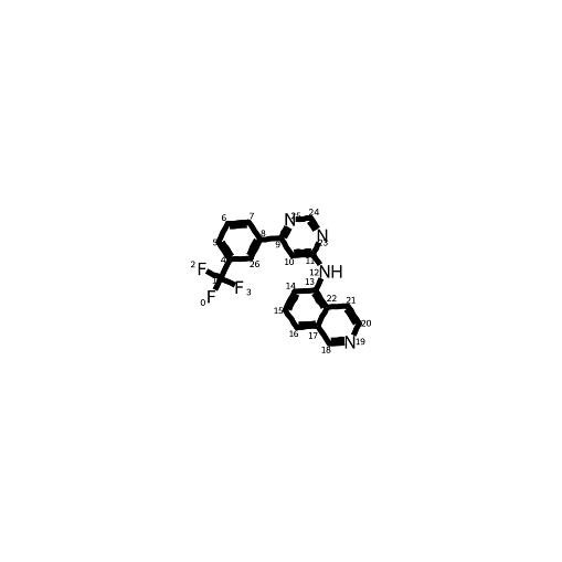 FC(F)(F)c1cccc(-c2cc(Nc3cccc4cnccc34)ncn2)c1